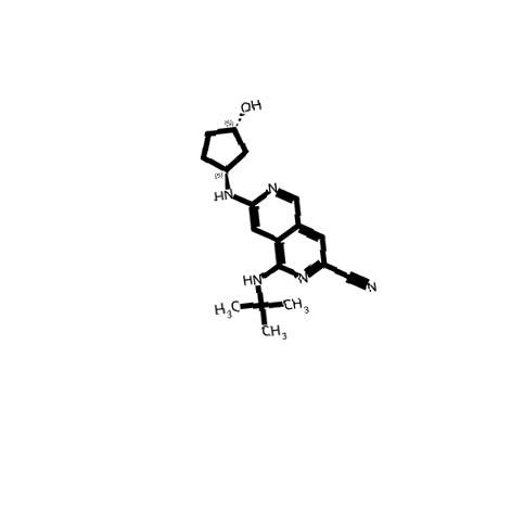 CC(C)(C)Nc1nc(C#N)cc2cnc(N[C@H]3CC[C@H](O)C3)cc12